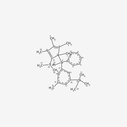 CC1=C(C)C(C)([Si](c2ccccc2)(c2cc(C)cc([Si](C)(C)C)c2)C(C)C)[C]([Ti]([CH3])[CH3])=C1C